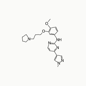 COc1ccc(Nc2nccc(-c3cnn(C)c3)n2)cc1OCCCN1CCCC1